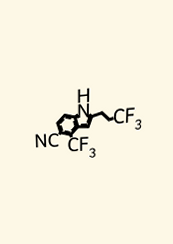 N#Cc1ccc2[nH]c(CCC(F)(F)F)cc2c1C(F)(F)F